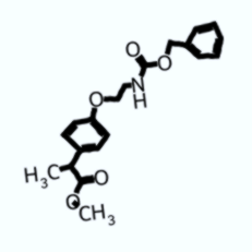 COC(=O)C(C)c1ccc(OCCNC(=O)OCc2ccccc2)cc1